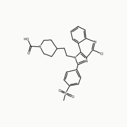 CS(=O)(=O)c1ccc(-c2nc3c(Cl)nc4ccccc4c3n2CCC2CCN(C(=O)O)CC2)cc1